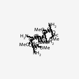 COCCN(CC(=O)N(CCCCN)CC(=O)N(CCOC)CC(=O)N(CCCCN)CC(=O)N(CCOC)CC(=O)N(CCOC)CC(=O)N(CCCCN)CC(=O)N(CCOC)CC(=O)N(CCCCN)CC(=O)N(CCOC)CC(C)=O)C(C)=O